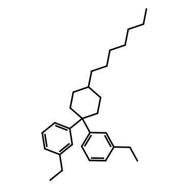 CCCCCCCC1CCC(c2cccc(CC)c2)(c2cccc(CC)c2)CC1